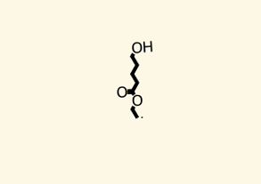 [CH2]COC(=O)CCCCO